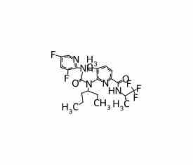 CCCC(CC)N(C(=O)Nc1ncc(F)cc1F)c1nc(C(=O)N[C@H](C)C(F)(F)F)ccc1C